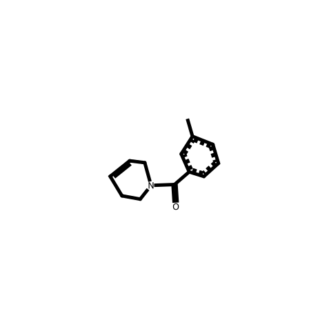 Cc1cccc(C(=O)N2CC=CCC2)c1